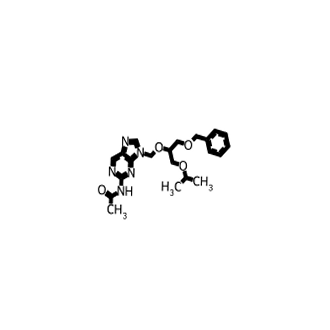 CC(=O)Nc1ncc2ncn(COC(COCc3ccccc3)COC(C)C)c2n1